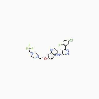 Fc1ccc(Cl)cc1-c1cc(Nc2ccnc3cc(OCCN4CCN(CC(F)(F)F)CC4)ccc23)cnn1